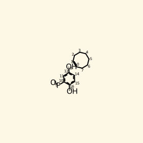 C1=CCCCCCC1.O=Pc1cc(O)ccc1O